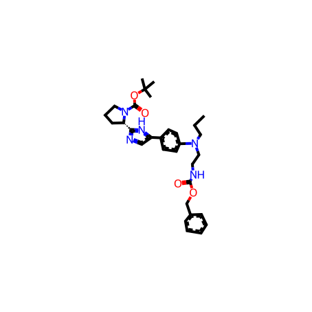 CCCN(CCNC(=O)OCc1ccccc1)c1ccc(-c2cnc([C@@H]3CCCN3C(=O)OC(C)(C)C)[nH]2)cc1